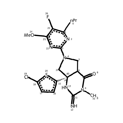 CCCc1nc(N2CC3C(=O)N(C)C(=N)N[C@@]3(c3ccc(Cl)s3)C2)nc(OC)c1F